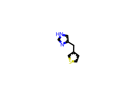 c1nc(Cc2ccsc2)c[nH]1